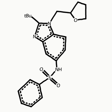 CC(C)(C)c1nc2cc(NS(=O)(=O)c3ccccc3)ccc2n1CC1CCCO1